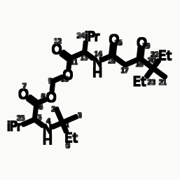 CCC(C)(C)NC(C(=O)OCOC(=O)C(NC(=O)CC(=O)C(C)(CC)CC)C(C)C)C(C)C